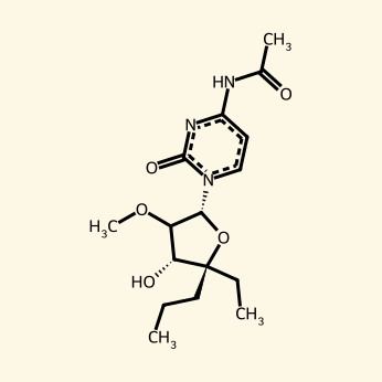 CCC[C@]1(CC)O[C@@H](n2ccc(NC(C)=O)nc2=O)C(OC)[C@H]1O